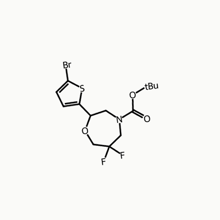 CC(C)(C)OC(=O)N1CC(c2ccc(Br)s2)OCC(F)(F)C1